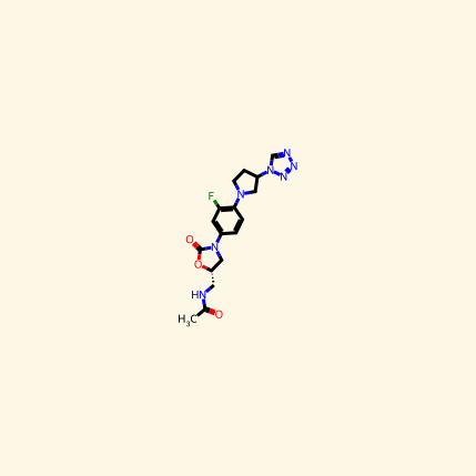 CC(=O)NC[C@H]1CN(c2ccc(N3CCC(n4cnnn4)C3)c(F)c2)C(=O)O1